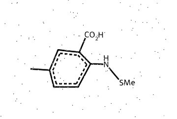 CSNc1ccc(C)cc1C(=O)O